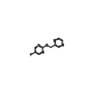 Fc1cnc(OCc2cnccn2)nc1